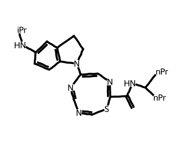 C=C(NC(CCC)CCC)c1ncc(N2CCc3cc(NC(C)C)ccc32)ncncs1